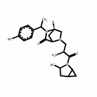 CC(c1ccc(C#N)cc1)N1C(=O)C2C[C@H]1CN2CC(N)C(=O)N1C(C#N)CC2CC21